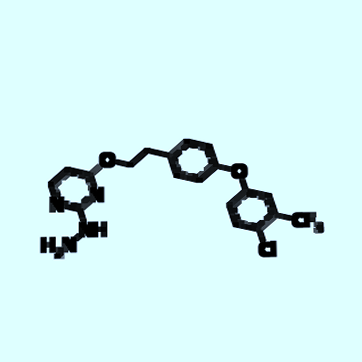 NNc1nccc(OCCc2ccc(Oc3ccc(Cl)c(C(F)(F)F)c3)cc2)n1